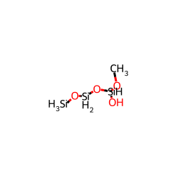 CO[SiH](O)O[SiH2]O[SiH3]